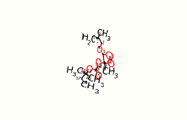 C=C(C)COC1OOC1(C)OC(=O)OC(C)(C)CC